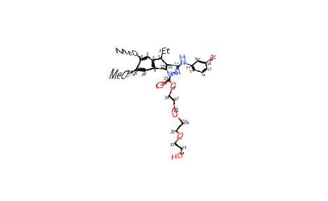 CCC1c2cc(OC)c(OC)cc2C2C1C(Nc1cccc(Br)c1)=NN2C(=O)OCCOCCOCCO